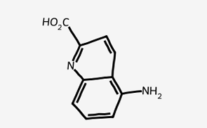 Nc1cccc2nc(C(=O)O)ccc12